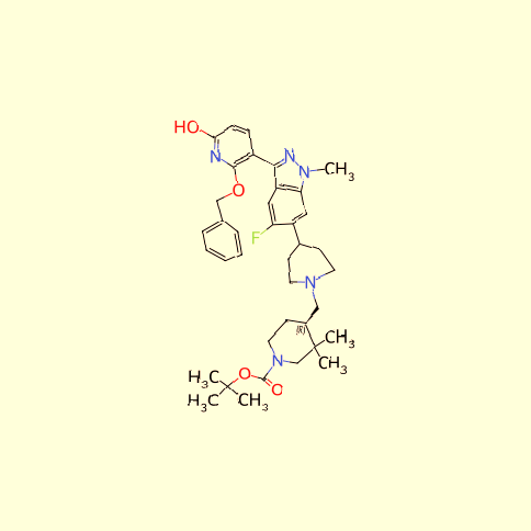 Cn1nc(-c2ccc(O)nc2OCc2ccccc2)c2cc(F)c(C3CCN(C[C@@H]4CCN(C(=O)OC(C)(C)C)CC4(C)C)CC3)cc21